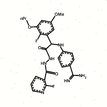 CCCOc1cc(OC)cc(C(Nc2ccc(C(=N)N)cc2)C(=O)NNC(=O)c2cccnc2F)c1F